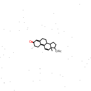 CC(=O)OC1CCC2C3CCC4=CC(=O)[C@@H](C)CC4=C3C=CC12C